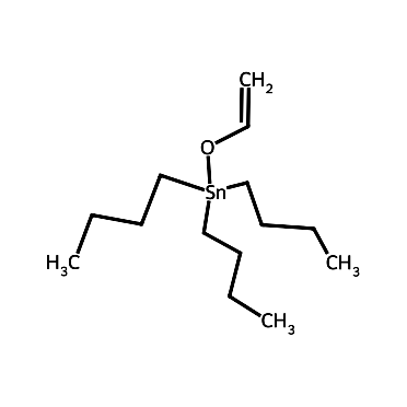 C=C[O][Sn]([CH2]CCC)([CH2]CCC)[CH2]CCC